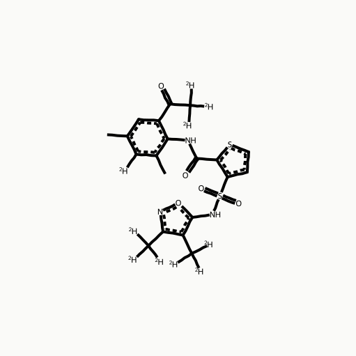 [2H]c1c(C)cc(C(=O)C([2H])([2H])[2H])c(NC(=O)c2sccc2S(=O)(=O)Nc2onc(C([2H])([2H])[2H])c2C([2H])([2H])[2H])c1C